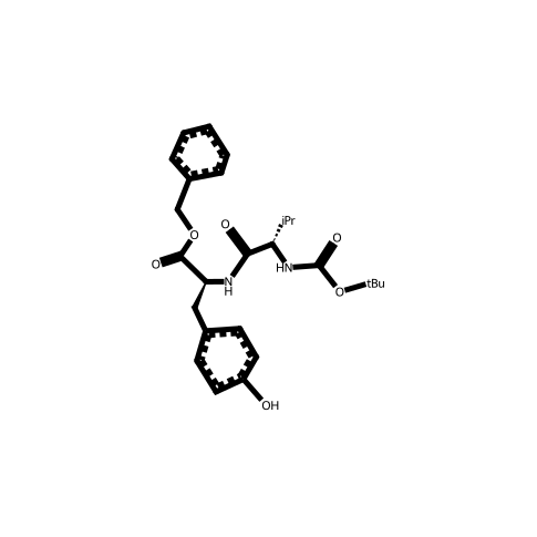 CC(C)[C@H](NC(=O)OC(C)(C)C)C(=O)N[C@@H](Cc1ccc(O)cc1)C(=O)OCc1ccccc1